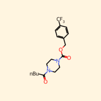 [CH2]CCCC(=O)N1CCN(C(=O)OCc2ccc(C(F)(F)F)cc2)CC1